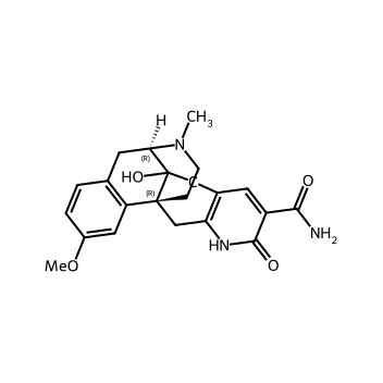 COc1ccc2c(c1)[C@]13CCN(C)[C@H](C2)C1(O)Cc1cc(C(N)=O)c(=O)[nH]c1C3